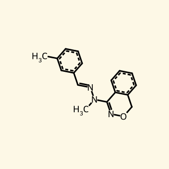 Cc1cccc(/C=N/N(C)C2=NOCc3ccccc32)c1